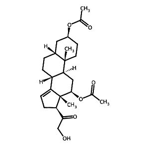 CC(=O)O[C@H]1CC[C@@]2(C)[C@H](CC[C@H]3C4=CC[C@H](C(=O)CO)[C@@]4(C)[C@H](OC(C)=O)C[C@@H]32)C1